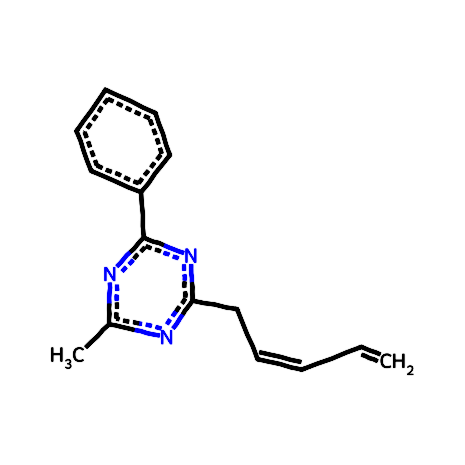 C=C/C=C\Cc1nc(C)nc(-c2ccccc2)n1